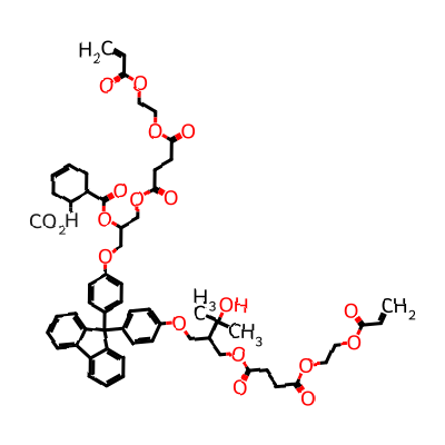 C=CC(=O)OCCOC(=O)CCC(=O)OCC(COc1ccc(C2(c3ccc(OCC(COC(=O)CCC(=O)OCCOC(=O)C=C)C(C)(C)O)cc3)c3ccccc3-c3ccccc32)cc1)OC(=O)C1CC=CCC1C(=O)O